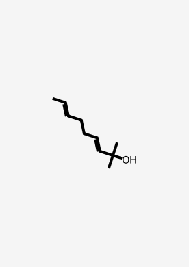 CC=CCC/C=C/C(C)(C)O